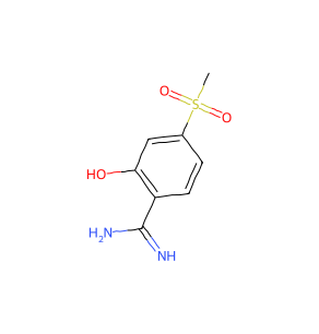 CS(=O)(=O)c1ccc(C(=N)N)c(O)c1